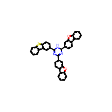 c1ccc2c(c1)oc1cc(C3=NC(c4ccc5c(c4)oc4ccccc45)NC(c4ccc5sc6ccccc6c5c4)=N3)ccc12